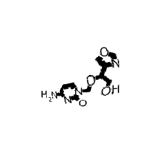 Nc1ccn(COC(CO)c2cocn2)c(=O)n1